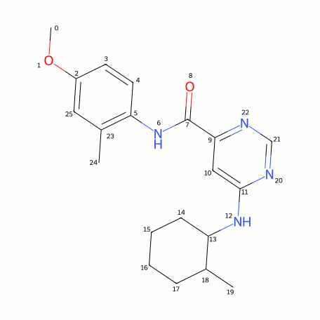 COc1ccc(NC(=O)c2cc(NC3CCCCC3C)ncn2)c(C)c1